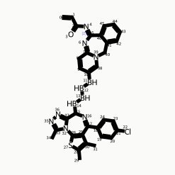 C=CC(=O)/N=C1\N=C2C=CC(BBBBC3N=C(c4ccc(Cl)cc4)c4c(sc(C)c4C)-n4c(C)nnc43)=CN2Cc2ccccc21